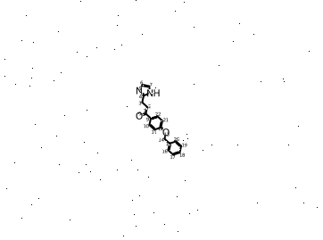 O=C(CCc1ncc[nH]1)c1ccc(OCc2ccccc2)cc1